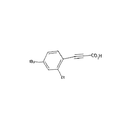 CCc1cc(C(C)(C)C)ccc1C#CC(=O)O